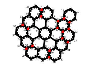 c1ccc(-c2cccc3ccccc23)c(-c2c(-c3cccc4ccccc34)c(-c3cccc4ccccc34)c(-c3cccc4ccccc34)c(-c3cccc4ccccc34)c2-c2cccc3ccccc23)c1